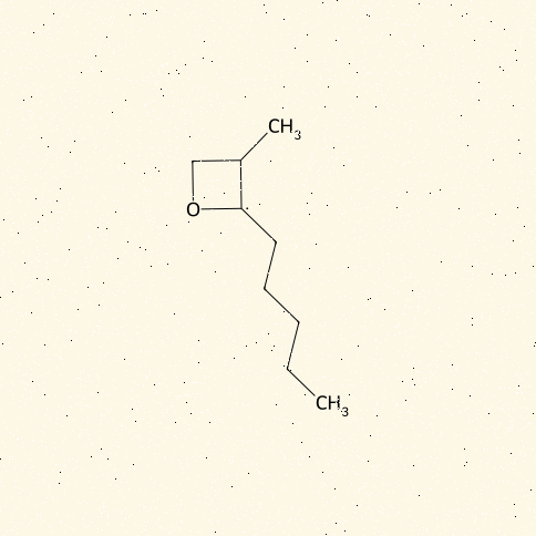 CCCCC[C]1OCC1C